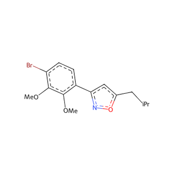 COc1c(Br)ccc(-c2cc(CC(C)C)on2)c1OC